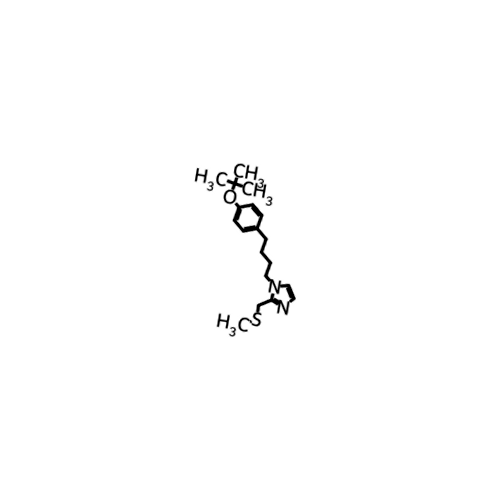 CSCc1nccn1CCCCc1ccc(OC(C)(C)C)cc1